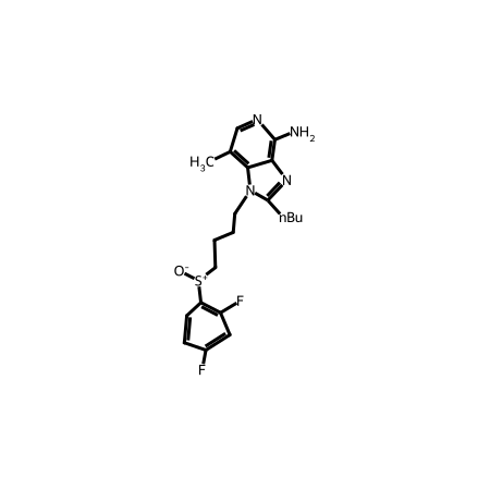 CCCCc1nc2c(N)ncc(C)c2n1CCCC[S+]([O-])c1ccc(F)cc1F